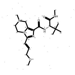 CNC(=O)[C@@H](NC(=O)c1nc(/C=C/COC)n2c1CN(C)CC2)C(C)(C)C